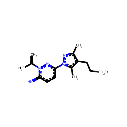 C=C(C)n1nc(-n2nc(C)c(CCC(=O)OCC)c2C)ccc1=N